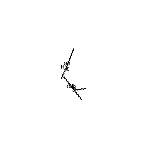 CCCCCCCCCCCOC(=O)CNC(=O)CCCCCN(CC)CCCCCCCC(=O)NCC(=O)OC(CCCCCCCC)CCCCCCCC